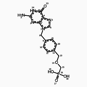 Nc1nc2c(ncn2Cc2ccc(COCP(=O)(O)O)cc2)c(=O)[nH]1